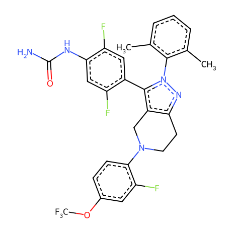 Cc1cccc(C)c1-n1nc2c(c1-c1cc(F)c(NC(N)=O)cc1F)CN(c1ccc(OC(F)(F)F)cc1F)CC2